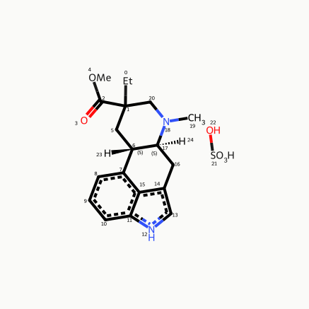 CCC1(C(=O)OC)C[C@H]2c3cccc4[nH]cc(c34)C[C@@H]2N(C)C1.O=S(=O)(O)O